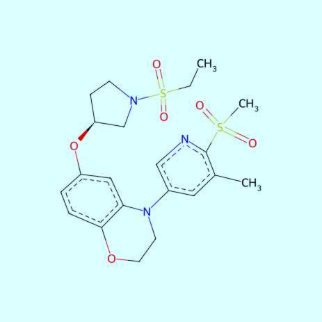 CCS(=O)(=O)N1CC[C@H](Oc2ccc3c(c2)N(c2cnc(S(C)(=O)=O)c(C)c2)CCO3)C1